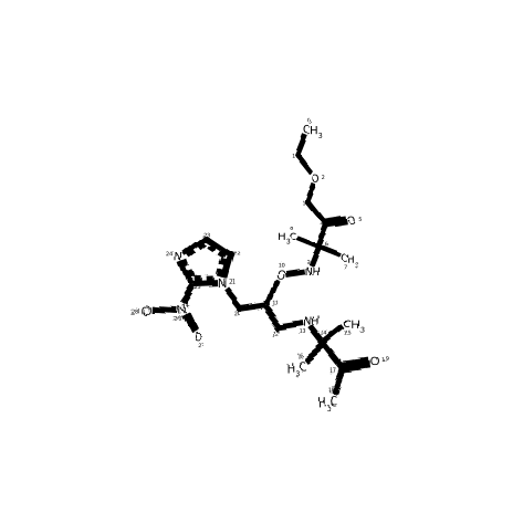 CCOCC(=O)C(C)(C)NOC(CNC(C)(C)C(C)=O)Cn1ccnc1[N+](=O)[O-]